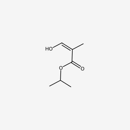 CC(=CO)C(=O)OC(C)C